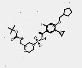 CC(C)(C)OC(=O)NC[C@H]1CN(S(=O)(=O)NC(=O)c2cc(C3CC3)c(OCC3CCCC3)cc2F)CCO1